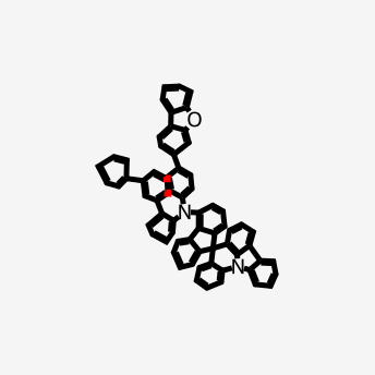 c1ccc(-c2cccc(-c3ccccc3N(c3ccc(-c4ccc5c(c4)oc4ccccc45)cc3)c3cccc4c3-c3ccccc3C43c4ccccc4-n4c5ccccc5c5cccc3c54)c2)cc1